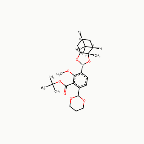 COc1c(B2OC3C[C@@H]4C[C@@H](C4(C)C)[C@]3(C)O2)ccc(C2OCCCO2)c1C(=O)OC(C)(C)C